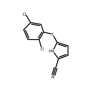 N#Cc1ccc(Sc2cc(Cl)ccc2Cl)[nH]1